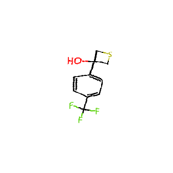 OC1(c2ccc(C(F)(F)F)cc2)CSC1